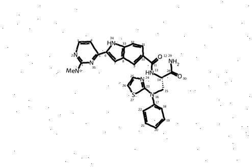 CNc1nccc(-c2cc3cc(C(=O)N[C@@H](CN(c4ccccc4)c4nccs4)C(N)=O)ccc3[nH]2)n1